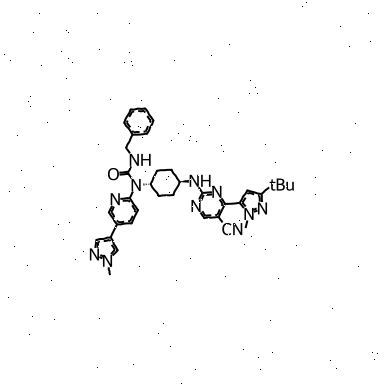 Cn1cc(-c2ccc(N(C(=O)NCc3ccccc3)[C@H]3CC[C@H](Nc4ncc(C#N)c(-c5cc(C(C)(C)C)nn5C)n4)CC3)nc2)cn1